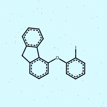 Ic1ccccc1Oc1cccc2c1-c1ccccc1C2